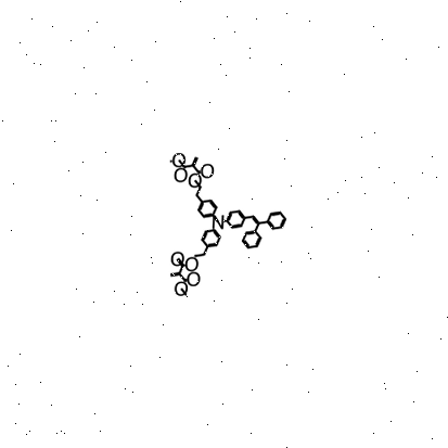 C=C(C(=O)OC)C(=O)OCCc1ccc(N(c2ccc(C=C(c3ccccc3)c3ccccc3)cc2)c2ccc(CCOC(=O)C(=C)C(=O)OC)cc2)cc1